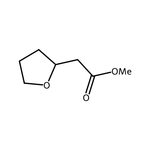 COC(=O)CC1CCCO1